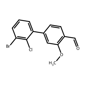 COc1cc(-c2cccc(Br)c2Cl)ccc1C=O